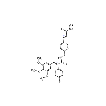 COc1cc(/C=C(/C(=O)NCc2ccc(/C=C/C(=O)NO)cc2)c2ccc(F)cc2)cc(OC)c1OC